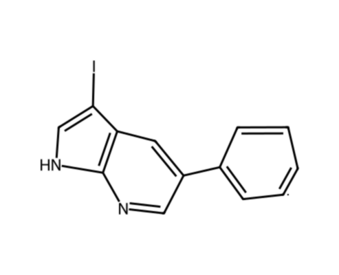 Ic1c[nH]c2ncc(-c3c[c]ccc3)cc12